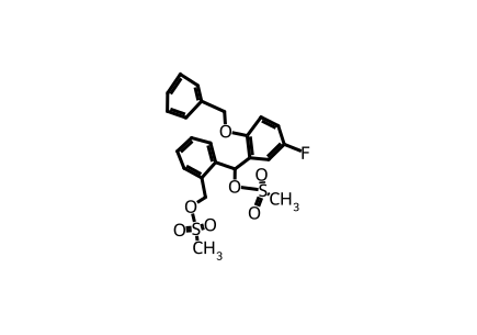 CS(=O)(=O)OCc1ccccc1C(OS(C)(=O)=O)c1cc(F)ccc1OCc1ccccc1